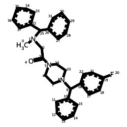 CN(CC(=O)N1CCN(C(c2ccccc2)c2ccc(F)cc2)CC1)C(c1ccccc1)c1ccccc1